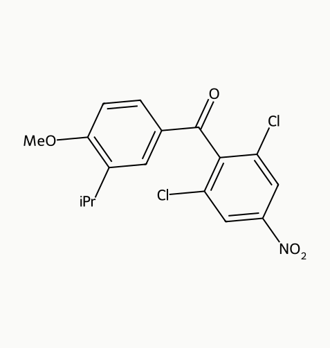 COc1ccc(C(=O)c2c(Cl)cc([N+](=O)[O-])cc2Cl)cc1C(C)C